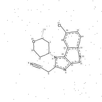 C[C@@H]1C[C@H](n2c(CC#N)nc3cnc4ccc(Cl)cc4c32)CCO1